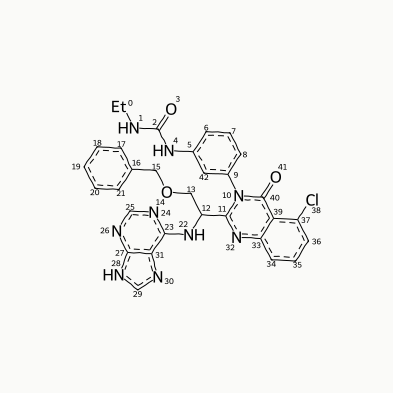 CCNC(=O)Nc1cccc(-n2c(C(COCc3ccccc3)Nc3ncnc4[nH]cnc34)nc3cccc(Cl)c3c2=O)c1